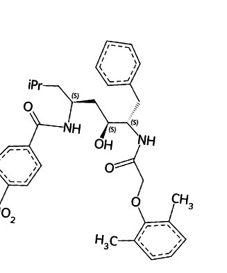 Cc1cccc(C)c1OCC(=O)N[C@@H](Cc1ccccc1)[C@@H](O)C[C@H](CC(C)C)NC(=O)c1ccc([N+](=O)[O-])cc1